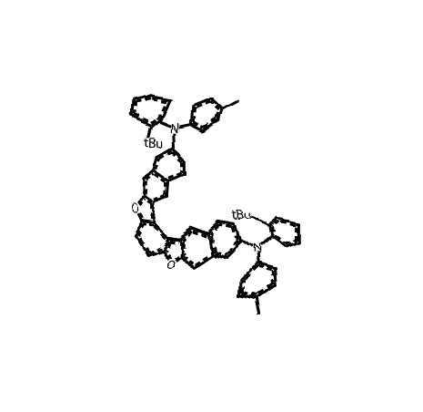 Cc1ccc(N(c2ccc3cc4c(cc3c2)oc2ccc3oc5cc6cc(N(c7ccc(C)cc7)c7ccccc7C(C)(C)C)ccc6cc5c3c24)c2ccccc2C(C)(C)C)cc1